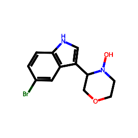 ON1CCOCC1c1c[nH]c2ccc(Br)cc12